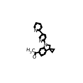 CC(=O)c1ccc2c(c1)N(c1ccc(-c3ccccn3)cn1)CC21CC1